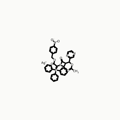 CC(=O)OC(c1cnccn1)C1C(=O)N(C(C(=O)OCc2ccc([N+](=O)[O-])cc2)=P(c2ccccc2)(c2ccccc2)c2ccccc2)C1[S-].[Ag+]